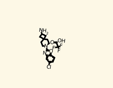 NC1CC2(CCN(c3nc4cc(Cl)ccc4o3)CC2)C1.O=C(O)C(F)(F)F